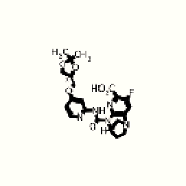 CC1(C)OC[C@H](COc2ccnc(NC(=O)N3c4nc(C(=O)O)c(F)cc4N4CC[C@H]3C4)c2)O1